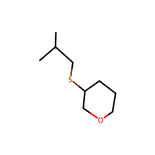 C[C](C)CSC1CCCOC1